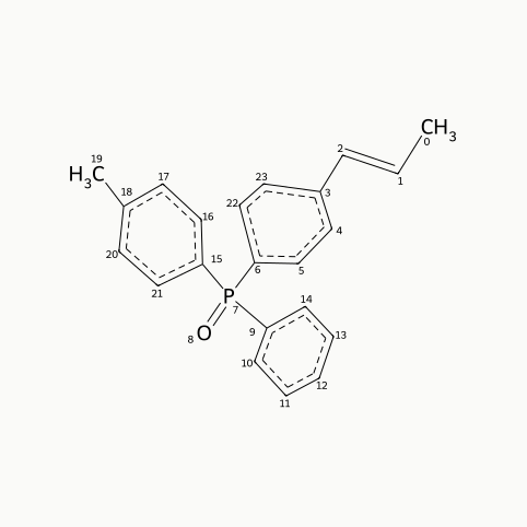 C/C=C/c1ccc(P(=O)(c2ccccc2)c2ccc(C)cc2)cc1